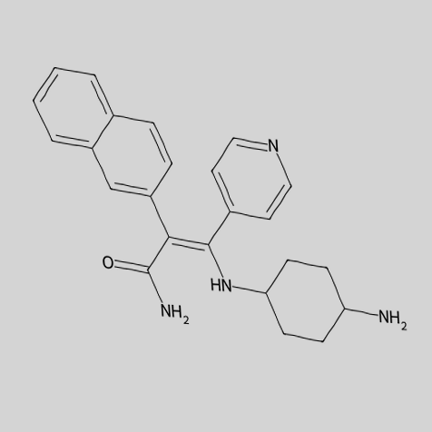 NC(=O)/C(=C(\NC1CCC(N)CC1)c1ccncc1)c1ccc2ccccc2c1